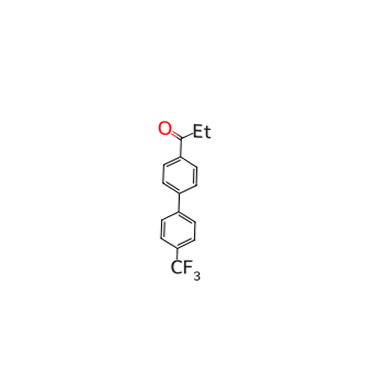 CCC(=O)c1ccc(-c2ccc(C(F)(F)F)cc2)cc1